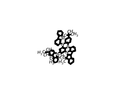 CC(C)(C)c1ccc2c(c1)N(c1cccc3c1oc1ccccc13)c1cc(N3c4ccc(C(C)(C)C)cc4C4(C)CCCCC34C)cc3c1B2c1cccc2c4c(n-3c12)C(C)(C)c1ccccc1-4